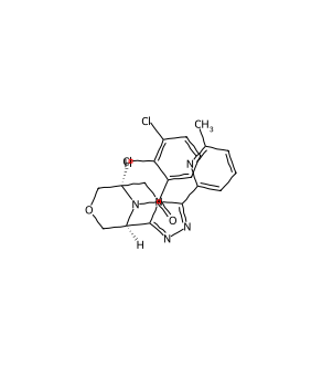 Cc1cccc(-c2nnc3n2C[C@@H]2COC[C@H]3N2C(=O)c2cccc(Cl)c2Cl)n1